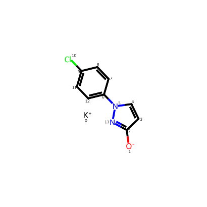 [K+].[O-]c1ccn(-c2ccc(Cl)cc2)n1